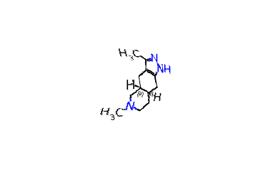 Cc1n[nH]c2c1C[C@H]1CN(C)CC[C@@H]1C2